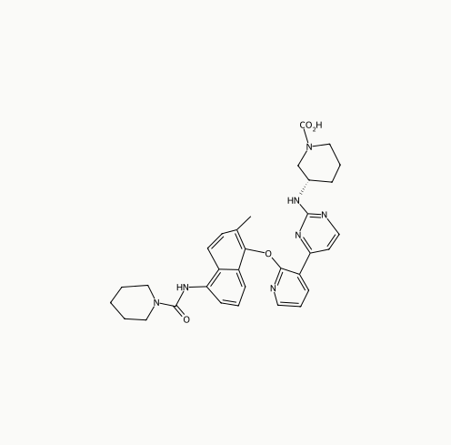 Cc1ccc2c(NC(=O)N3CCCCC3)cccc2c1Oc1ncccc1-c1ccnc(N[C@H]2CCCN(C(=O)O)C2)n1